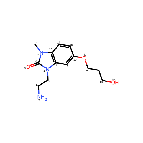 Cn1c(=O)n(CCN)c2cc(OCCCO)ccc21